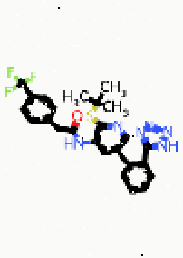 CC(C)(C)Sc1ncc(-c2ccccc2-c2nnn[nH]2)cc1NC(=O)Cc1ccc(C(F)(F)F)cc1